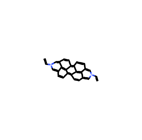 C=CN1C=c2ccc3c4ccc5c6c(ccc(c7ccc(c2c37)=C1)c64)=CN(C=C)C=5